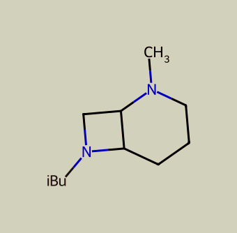 CCC(C)N1CC2C1CCCN2C